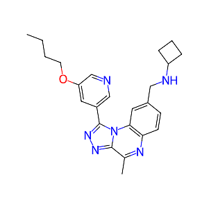 CCCCOc1cncc(-c2nnc3c(C)nc4ccc(CNC5CCC5)cc4n23)c1